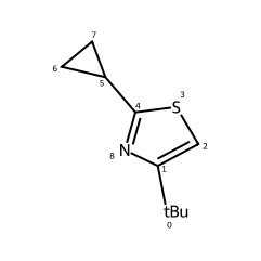 CC(C)(C)c1csc(C2CC2)n1